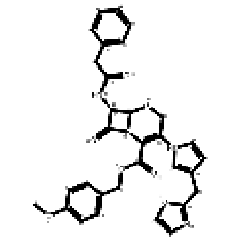 COc1ccc(COC(=O)C2=C([SH]3C=CC(Cc4ncco4)=C3)CSC3[C@H](NC(=O)Cc4ccccc4)C(=O)N23)cc1